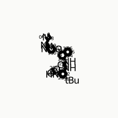 CN1CCC1c1nnc2ccc(O[C@@H]3CC[C@H](NC(=O)Nc4cc(NS(C)(=O)=O)cc(C(C)(C)C)c4)c4ccccc43)cn12